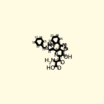 NC(C(=O)O)C(=O)c1nc(-c2cn(Cc3ccccc3)nn2)c2c(-c3ccccc3)noc2c1O